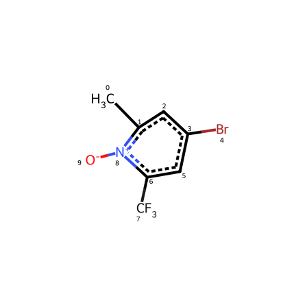 Cc1cc(Br)cc(C(F)(F)F)[n+]1[O-]